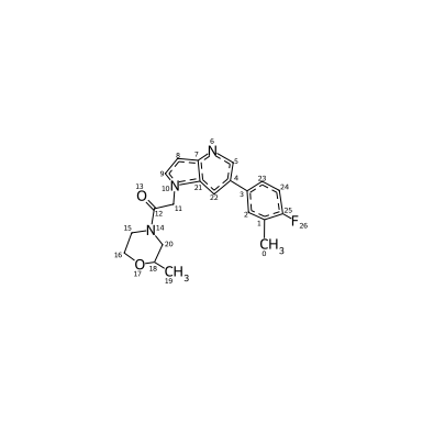 Cc1cc(-c2cnc3ccn(CC(=O)N4CCOC(C)C4)c3c2)ccc1F